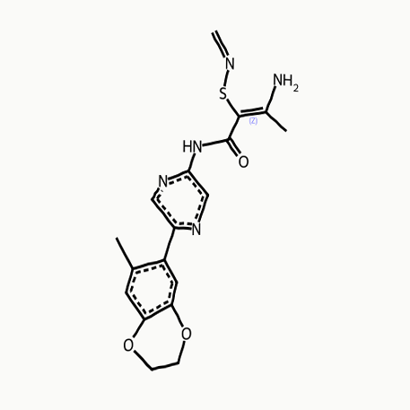 C=NS/C(C(=O)Nc1cnc(-c2cc3c(cc2C)OCCO3)cn1)=C(/C)N